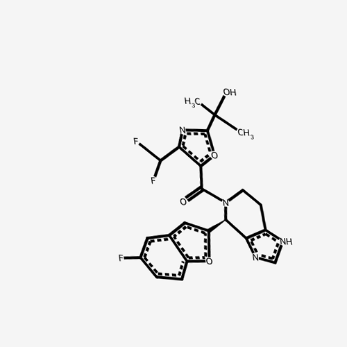 CC(C)(O)c1nc(C(F)F)c(C(=O)N2CCc3[nH]cnc3[C@H]2c2cc3cc(F)ccc3o2)o1